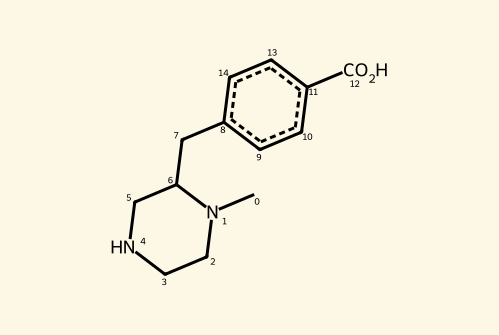 CN1CCNCC1Cc1ccc(C(=O)O)cc1